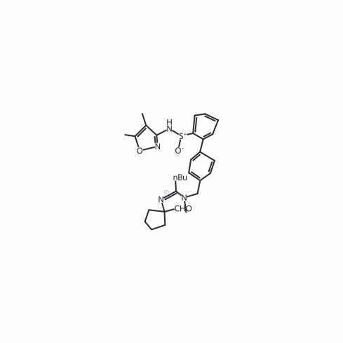 CCCC/C(=N/C1(C=O)CCCC1)N(C)Cc1ccc(-c2ccccc2[S+]([O-])Nc2noc(C)c2C)cc1